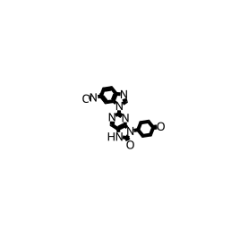 [C-]#[N+]c1ccc2ncn(-c3ncc4[nH]c(=O)n(C5CCC(=O)CC5)c4n3)c2c1